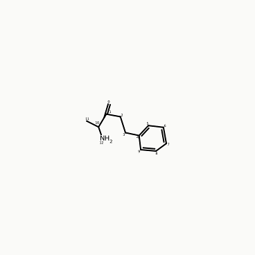 C=C(CCc1ccccc1)C(C)N